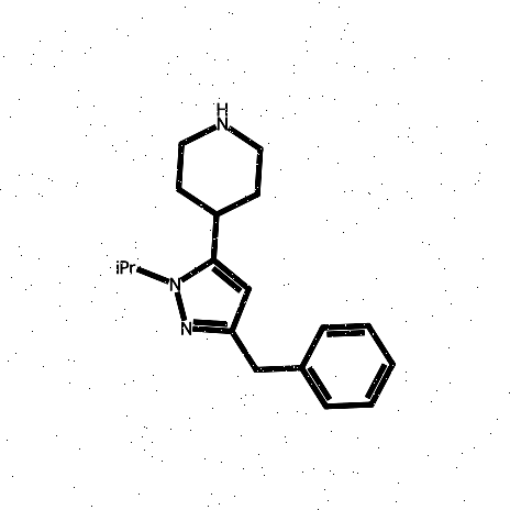 CC(C)n1nc(Cc2ccccc2)cc1C1CCNCC1